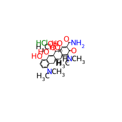 CN(C)c1ccc(O)c2c1C[C@H]1C[C@H]3[C@H](N(C)C)C(=O)C(C(N)=O)=C(O)[C@@]3(O)C(=O)C1=C2O.CO.Cl